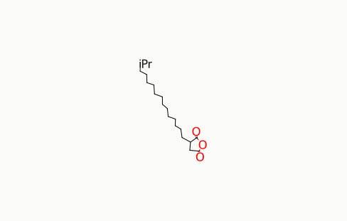 CC(C)CCCCCCCCCCCCCC1CC(=O)OC1=O